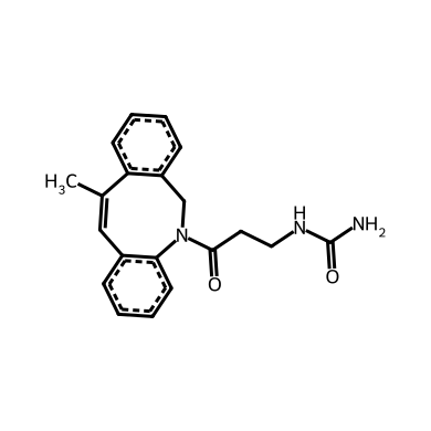 C/C1=C/c2ccccc2N(C(=O)CCNC(N)=O)Cc2ccccc21